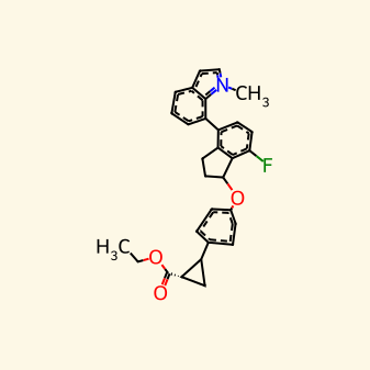 CCOC(=O)[C@H]1CC1c1ccc(OC2CCc3c(-c4cccc5ccn(C)c45)ccc(F)c32)cc1